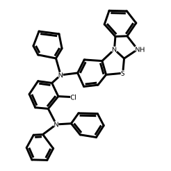 Clc1c(N(c2ccccc2)c2ccccc2)cccc1N(c1ccccc1)c1ccc2c(c1)N1c3ccccc3NC1S2